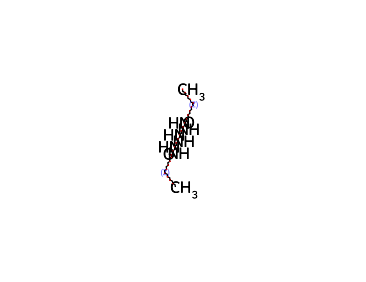 CCCCCCCC/C=C\CCCCCCCC(=O)NCCNCCNCCNCCNCCNC(=O)CCCCCCC/C=C\CCCCCCCC